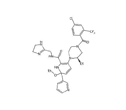 CCOC1(c2cccnc2)C=CC(N2CCN(C(=O)c3ccc(Cl)cc3C(F)(F)F)C[C@H]2CC)=C(C(=O)NCC2=NCCN2)N1